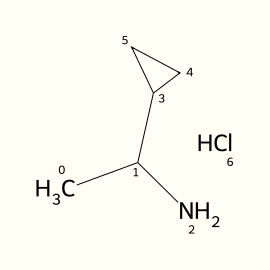 CC(N)C1CC1.Cl